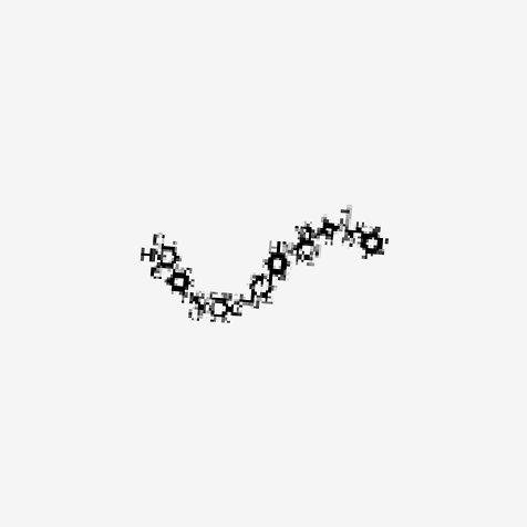 O=C1CC[C@@H](c2ccc(OCC(=O)N3CCC(OCCN4CCN(c5ccc(Nc6ncnc7c6ncn7C6CC(NC(=O)Cc7ccccc7)C6)cc5)CC4)CC3)cc2)C(=O)N1